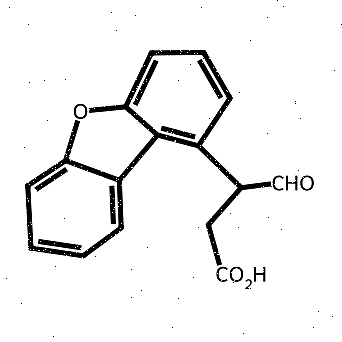 O=CC(CC(=O)O)c1cccc2oc3ccccc3c12